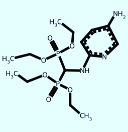 CCOP(=O)(OCC)C(Nc1ccc(N)cn1)P(=O)(OCC)OCC